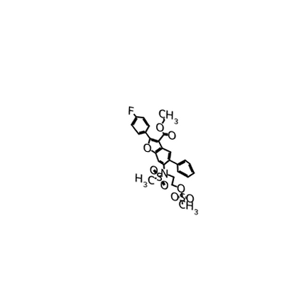 CCOC(=O)c1c(-c2ccc(F)cc2)oc2cc(N(CCOS(C)(=O)=O)S(C)(=O)=O)c(-c3ccccc3)cc12